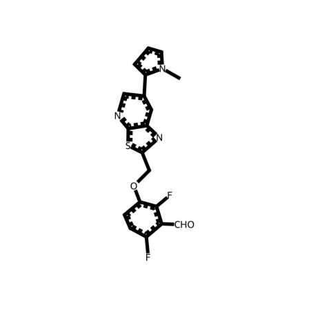 Cn1cccc1-c1cnc2sc(COc3ccc(F)c(C=O)c3F)nc2c1